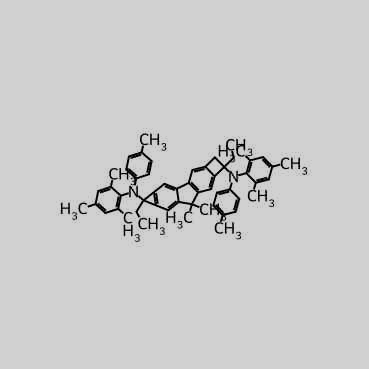 CCC1(N(c2ccc(C)cc2)c2c(C)cc(C)cc2C)Cc2cc3c(cc21)C(C)(C)c1cc2c(cc1-3)C2(CC)N(c1ccc(C)cc1)c1c(C)cc(C)cc1C